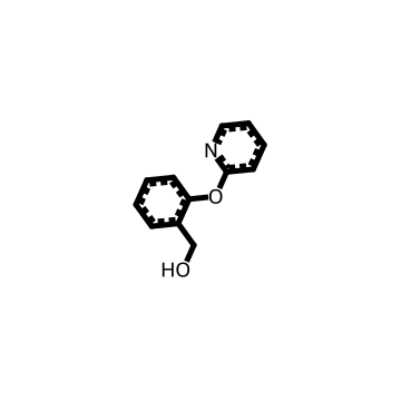 OCc1ccccc1Oc1ccccn1